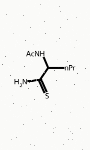 CCCC(NC(C)=O)C(N)=S